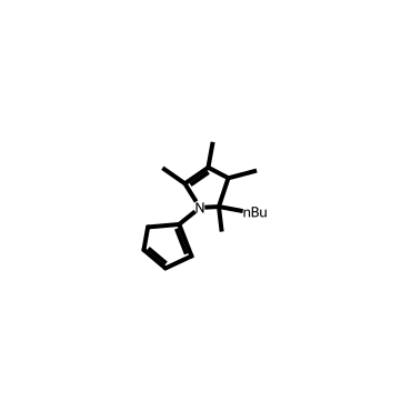 CCCCC1(C)C(C)C(C)=C(C)N1C1=CC=CC1